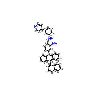 N=C1C=C(c2c3ccccc3c(-c3cccc4ccccc34)c3ccccc23)C=C/C1=N/Nc1cccc(-c2ccncc2)c1